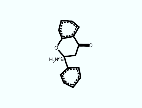 N[C@@]1(c2ccccc2)CC(=O)c2ccccc2O1